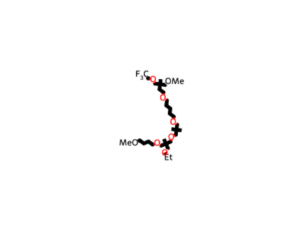 CCOCC(C)(COCCCCOC)COCC(C)(C)COCCCCCOCCC(C)(COC)COCC(F)(F)F